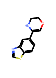 C1=C(c2ccc3scnc3c2)NCCO1